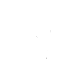 c1ccc2[nH]c3ccc4nc5ccccc5c4c3nc2c1